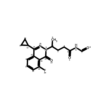 CC(CCC(=O)NC=O)n1nc(C2CC2)c2cccc(F)c2c1=O